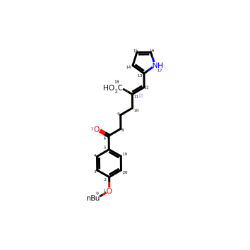 CCCCOc1ccc(C(=O)CCC/C(=C/c2ccc[nH]2)C(=O)O)cc1